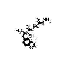 CC(Cc1ccc2c(c1)OCO2)N(C)C(=O)OCOC(=O)CN